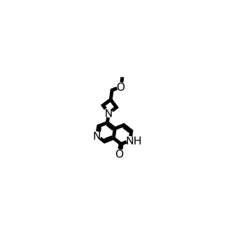 COCC1CN(c2cncc3c(=O)[nH]ccc23)C1